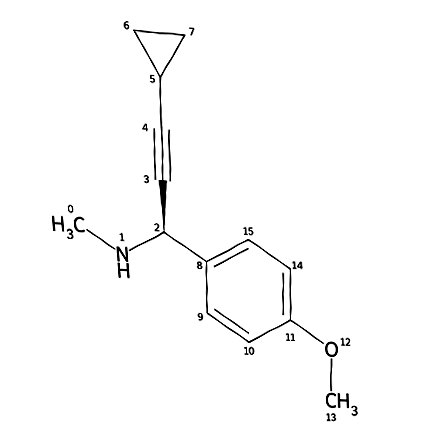 CN[C@@H](C#CC1CC1)c1ccc(OC)cc1